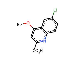 CCOc1cc(C(=O)O)nc2ccc(Cl)cc12